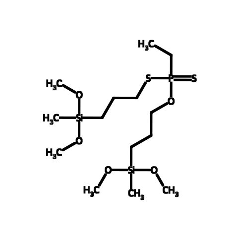 CCP(=S)(OCCC[Si](C)(OC)OC)SCCC[Si](C)(OC)OC